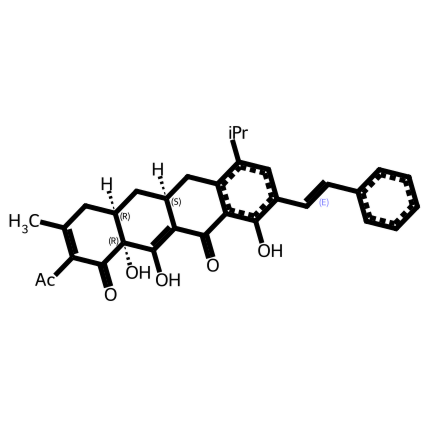 CC(=O)C1=C(C)C[C@H]2C[C@H]3Cc4c(C(C)C)cc(/C=C/c5ccccc5)c(O)c4C(=O)C3=C(O)[C@@]2(O)C1=O